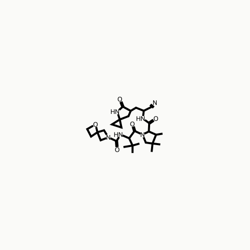 CC1C(C(=O)NC(C#N)CC2CC3(CC3)NC2=O)N(C(=O)C(NC(=O)N2CC3(CCO3)C2)C(C)(C)C)CC1(C)C